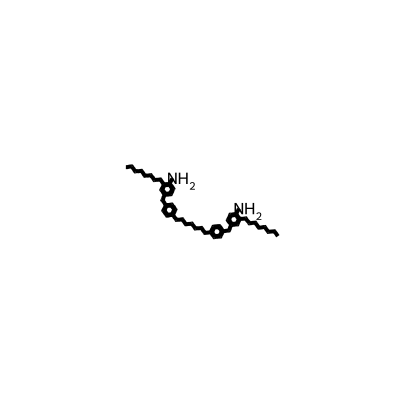 CCCCCCCCc1cc(Cc2ccc(CCCCCCCc3ccc(Cc4ccc(N)c(CCCCCCCC)c4)cc3)cc2)ccc1N